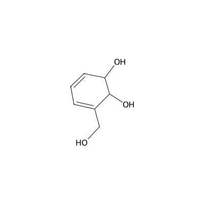 OCC1=CC=CC(O)C1O